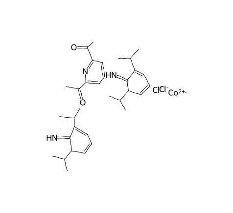 CC(=O)c1cccc(C(C)=O)n1.CC(C)C1=CC=CC(C(C)C)C1=N.CC(C)C1=CC=CC(C(C)C)C1=N.[Cl-].[Cl-].[Co+2]